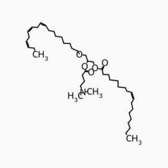 CC/C=C\C/C=C\C/C=C\CCCCCCCCOCC(COC(=O)CCCCCCC/C=C\CCCCCCCC)OC(=O)CCCN(C)C